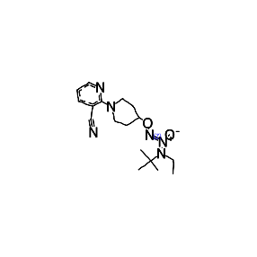 CCN(/[N+]([O-])=N/OC1CCN(c2ncccc2C#N)CC1)C(C)(C)C